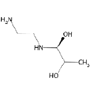 CC(O)[C@H](O)NCCN